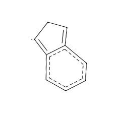 [C]1=c2ccccc2=CC1